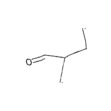 [CH2]CC([CH2])C=O